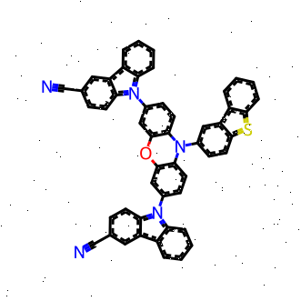 N#Cc1ccc2c(c1)c1ccccc1n2-c1ccc2c(c1)Oc1cc(-n3c4ccccc4c4cc(C#N)ccc43)ccc1N2c1ccc2sc3ccccc3c2c1